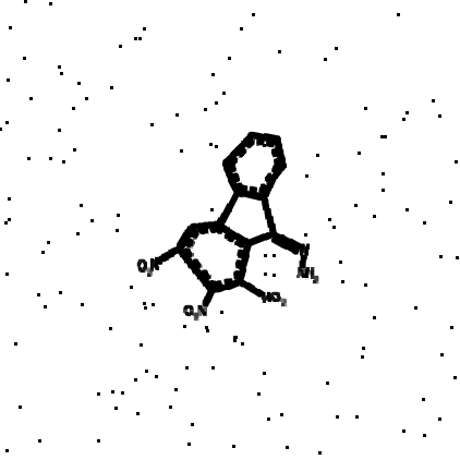 NN=C1c2ccccc2-c2cc([N+](=O)[O-])c([N+](=O)[O-])c([N+](=O)[O-])c21